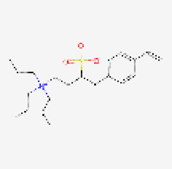 C=Cc1ccc(CC(CC[N+](CCC)(CCC)CCC)S(=O)(=O)[O-])cc1